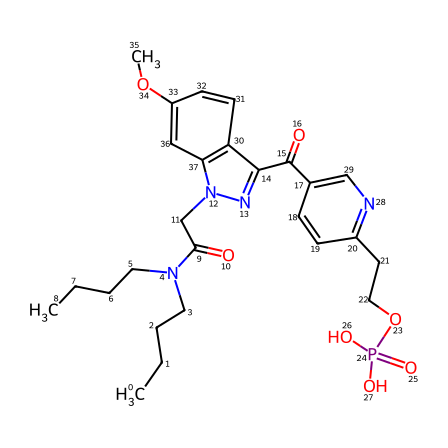 CCCCN(CCCC)C(=O)Cn1nc(C(=O)c2ccc(CCOP(=O)(O)O)nc2)c2ccc(OC)cc21